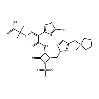 CC(C)(O/N=C(\C(=O)N[C@@H]1C(=O)N(S(=O)(=O)[O-])[C@@H]1Cn1ncc(C[N+]2(C)CCCC2)n1)c1csc(N)n1)C(=O)O